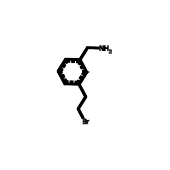 NCc1[c]c(CCBr)ccc1